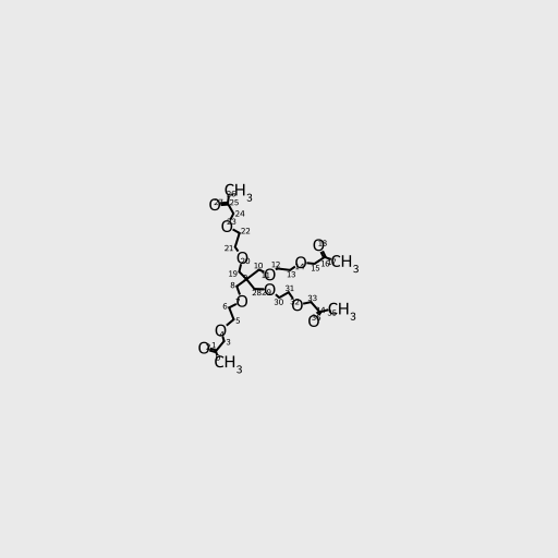 CC(=O)COCCOCC(COCCOCC(C)=O)(COCCOCC(C)=O)COCCOCC(C)=O